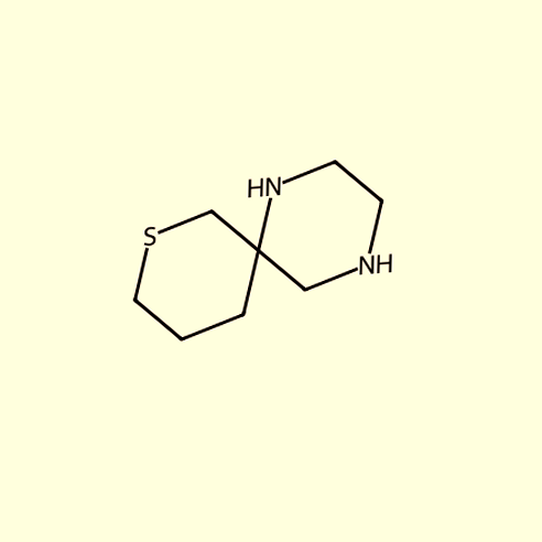 C1CSCC2(C1)CNCCN2